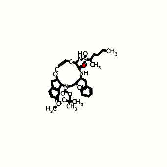 CCCCC(C)S(=O)(=O)NC1C/C=C\COC2Cc3ccc(OC)cc3C2N(C(=O)OC(C)(C)C)CC(O)C(Cc2ccccc2)NC1=O